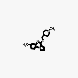 Cc1ccc2c(c1)nc(OCC1CCN(C)CC1)c1cccn12